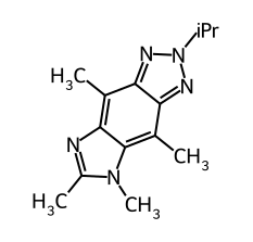 Cc1c2nn(C(C)C)nc2c(C)c2c1nc(C)n2C